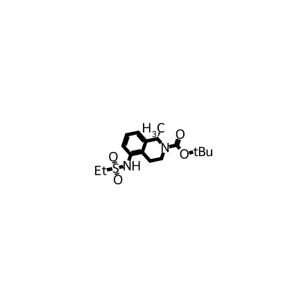 CCS(=O)(=O)Nc1cccc2c1CCN(C(=O)OC(C)(C)C)[C@H]2C